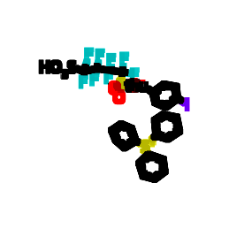 CC(C)(C)c1ccc(I)cc1.O=S(=O)([O-])C(F)(F)C(F)(F)C(F)(F)C(F)(F)S(=O)(=O)O.c1ccc([S+](c2ccccc2)c2ccccc2)cc1